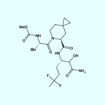 COC(=O)N[C@H](C(=O)N1CCC2(CC2)C[C@H]1C(=O)N[C@@H](CCC(C)(F)F)C(O)C(N)=O)C(C)(C)C